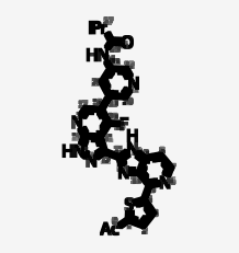 CC(=O)c1ccc(-c2nccc3[nH]c(-c4n[nH]c5ncc(-c6cncc(NC(=O)C(C)C)c6)c(F)c45)nc23)s1